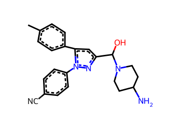 Cc1ccc(-c2cc(C(O)N3CCC(N)CC3)nn2-c2ccc(C#N)cc2)cc1